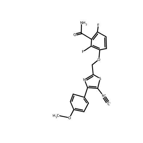 [C-]#[N+]c1sc(COc2ccc(F)c(C(N)=O)c2F)nc1-c1ccc(OC)cc1